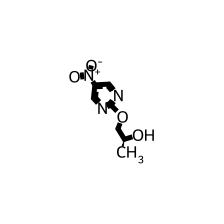 C[C@@H](O)COc1ncc([N+](=O)[O-])cn1